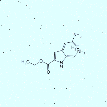 C=C(N)/C=c1/cc(C(=O)OCC)[nH]/c1=C/N